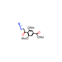 COC(=O)c1cc(OC)c(C(=O)CN=[N+]=[N-])c(OC)c1